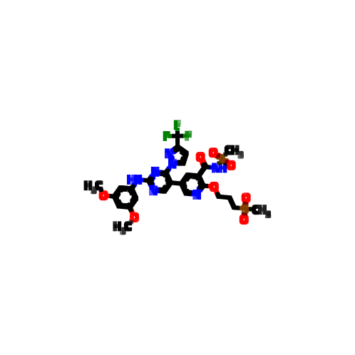 COc1cc(Nc2ncc(-c3cnc(OCCCS(C)(=O)=O)c(C(=O)NS(C)(=O)=O)c3)c(-n3ccc(C(F)(F)F)n3)n2)cc(OC)c1